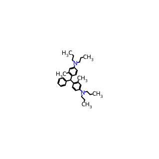 CCCN(CCC)c1ccc(C(c2ccccc2)c2ccc(N(CCC)CCC)cc2C)c(C)c1